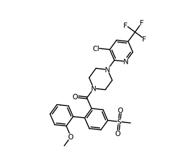 COc1ccccc1-c1ccc(S(C)(=O)=O)cc1C(=O)N1CCN(c2ncc(C(F)(F)F)cc2Cl)CC1